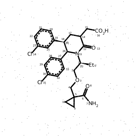 CC[C@@H](COCC1(C(N)=O)CC1)N1C(=O)C(CC(=O)O)C[C@H](c2cccc(Cl)c2)C1c1ccc(Cl)cc1